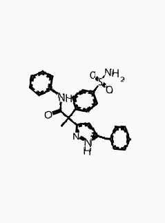 CC(C(=O)Nc1ccccc1)(c1ccc(S(N)(=O)=O)cc1)c1cc(-c2ccccc2)[nH]n1